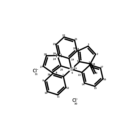 C=C1C=CC=[C]1[Ti+2]([c]1ccccc1)([c]1ccccc1)([c]1ccccc1)[c]1ccc[pH]1.[Cl-].[Cl-]